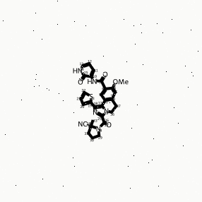 COc1cc2c(cc1C(=O)Nc1ccc[nH]c1=O)-c1c(-c3cccs3)nc(C(=O)N3CCC[C@]3(C)C#N)n1CC2